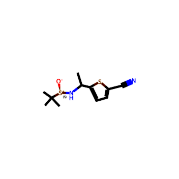 CC(N[S@+]([O-])C(C)(C)C)c1ccc(C#N)s1